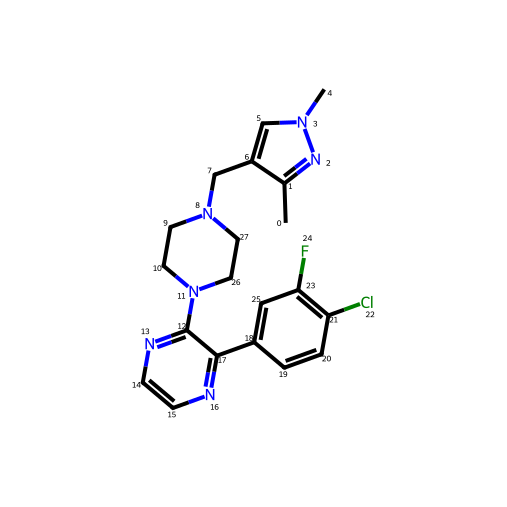 Cc1nn(C)cc1CN1CCN(c2nccnc2-c2ccc(Cl)c(F)c2)CC1